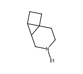 CCN1CCC23CCC2C3C1